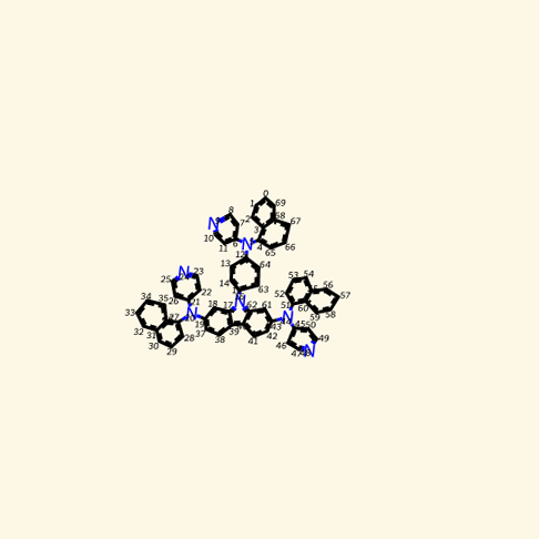 c1ccc2c(N(c3ccncc3)c3ccc(-n4c5cc(N(c6ccncc6)c6cccc7ccccc67)ccc5c5ccc(N(c6ccncc6)c6cccc7ccccc67)cc54)cc3)cccc2c1